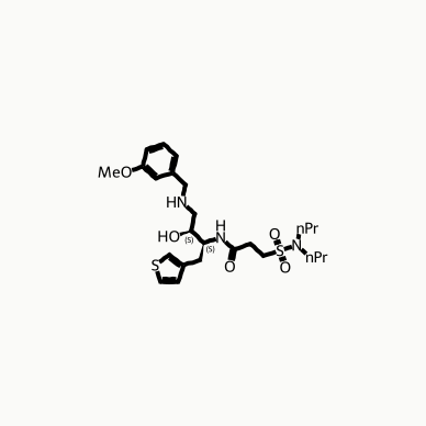 CCCN(CCC)S(=O)(=O)CCC(=O)N[C@@H](Cc1ccsc1)[C@@H](O)CNCc1cccc(OC)c1